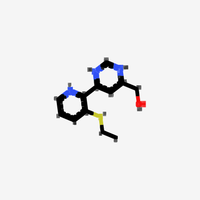 CCSc1cccnc1-c1cc(CO)ncn1